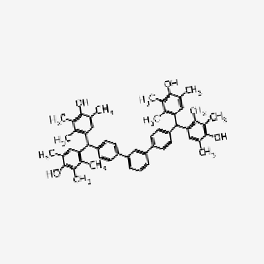 Cc1cc(C(c2ccc(-c3cccc(-c4ccc(C(c5cc(C)c(O)c(C)c5C)c5cc(C)c(O)c(C)c5C)cc4)c3)cc2)c2cc(C)c(O)c(C)c2C)c(C)c(C)c1O